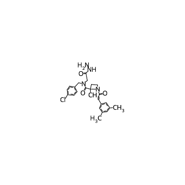 Cc1cc(C)cc(CC(=O)N2CCC2(C)C(=O)N(CC(=O)NN)Cc2ccc(Cl)cc2)c1